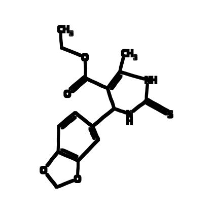 CCOC(=O)C1=C(C)NC(=S)NC1c1ccc2c(c1)OCO2